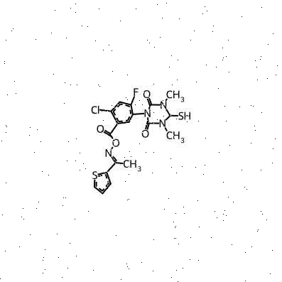 C/C(=N\OC(=O)c1cc(N2C(=O)N(C)C(S)N(C)C2=O)c(F)cc1Cl)c1cccs1